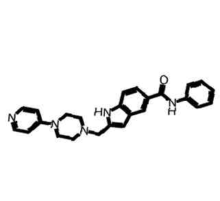 O=C(Nc1ccccc1)c1ccc2[nH]c(CN3CCN(c4ccncc4)CC3)cc2c1